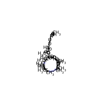 CO[C@H]1C[C@@H]2CC[C@@H](C)[C@@](O)(O2)C(=O)C(=O)N2CCCC[C@H]2C(=O)O[C@H]([C@H](N)C[C@@H]2CC[C@@H](OC(=O)NCCOCCOCCN3C[C@@H]4CC3CN4C)[C@H](OC)C2)C[C@@H](O)[C@H](C)/C=C(\C)[C@@H](O)[C@@H](O)C(=O)[C@H](C)C[C@H](C)/C=C/C=C/C=C/1C